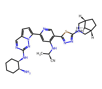 CC(=O)N[C@@H]1[C@@H]2CC[C@H]1CN(c1nnc(-c3cnc(-c4ccc5cnc(N[C@@H]6CCCC[C@@H]6N)nn45)cc3N[C@H](C)C#N)s1)C2